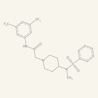 CN(C1CCN(CC(=O)Nc2cc(C(F)(F)F)cc(C(F)(F)F)c2)CC1)S(=O)(=O)c1ccccc1